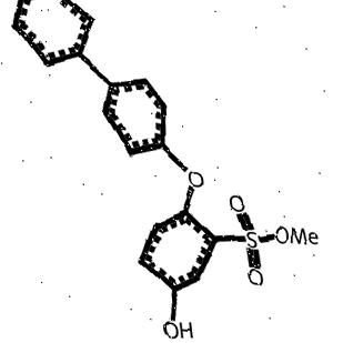 COS(=O)(=O)c1cc(O)ccc1Oc1ccc(-c2ccccc2)cc1